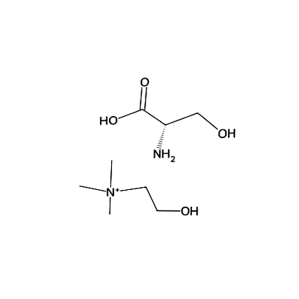 C[N+](C)(C)CCO.N[C@@H](CO)C(=O)O